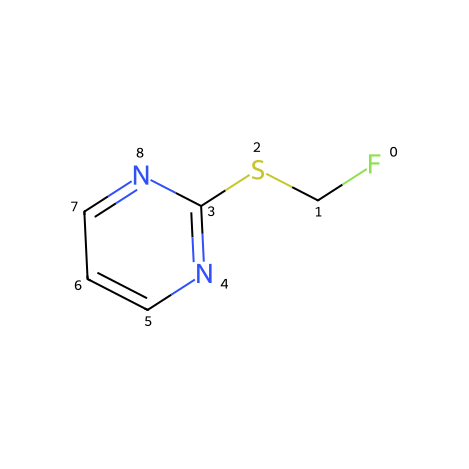 FCSc1ncccn1